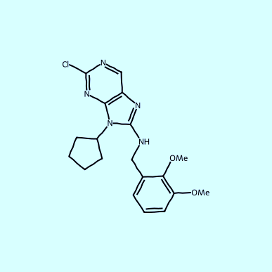 COc1cccc(CNc2nc3cnc(Cl)nc3n2C2CCCC2)c1OC